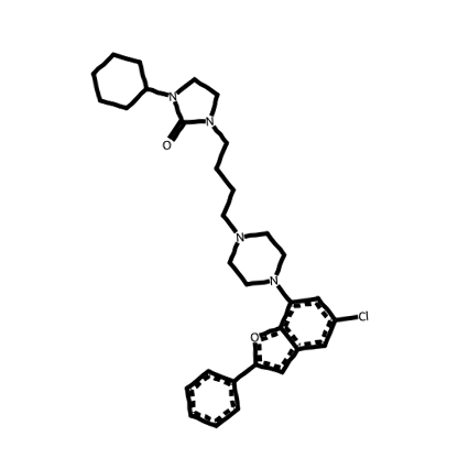 O=C1N(CCCCN2CCN(c3cc(Cl)cc4cc(-c5ccccc5)oc34)CC2)CCN1C1CCCCC1